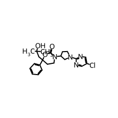 CC(C)(O)CC1(c2ccccc2)CCN(C2CCN(c3ncc(Cl)cn3)C2)C(=O)O1